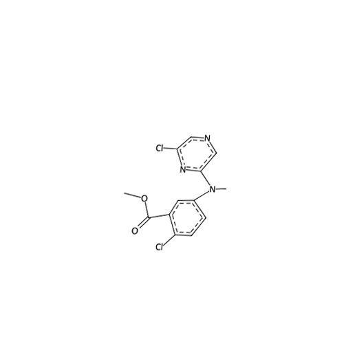 COC(=O)c1cc(N(C)c2cncc(Cl)n2)ccc1Cl